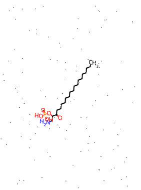 CCCCCCCCCCCCCCCCCC(=O)C(CN)OP(=O)(O)O